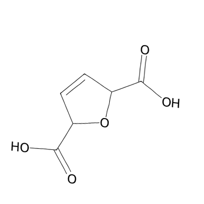 O=C(O)C1C=CC(C(=O)O)O1